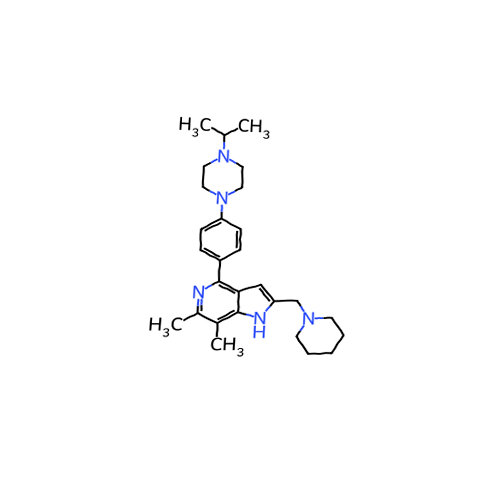 Cc1nc(-c2ccc(N3CCN(C(C)C)CC3)cc2)c2cc(CN3CCCCC3)[nH]c2c1C